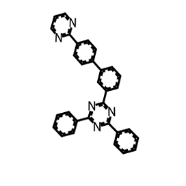 c1ccc(-c2nc(-c3ccccc3)nc(-c3cccc(-c4ccc(-c5ncccn5)cc4)c3)n2)cc1